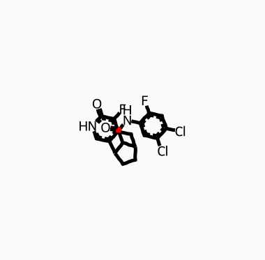 O=C(Nc1cc(Cl)c(Cl)cc1F)C1C2CCC1c1c[nH]c(=O)c(F)c1C2